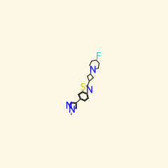 Cn1cc(-c2ccc3nc(C4CC(N5CCC(F)CC5)C4)sc3c2)cn1